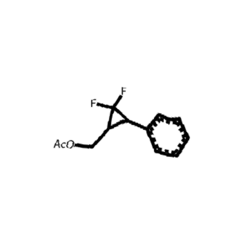 CC(=O)OCC1C(c2ccccc2)C1(F)F